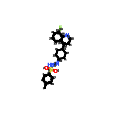 Cc1ccc(S(=O)(=O)NN=C2CCC(c3ccnc4c(F)cccc34)CC2)cc1